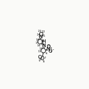 O=[N+]([O-])c1cc(-c2ccco2)ccc1Nc1cccc(-n2cccc2)c1